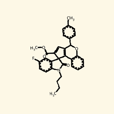 CCCCN1C(=O)C2(C(C(=O)OC)=CC3=C2c2ccccc2OC3c2ccc(C)cc2)c2cc(F)ccc21